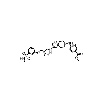 CNS(=O)(=O)c1cccc(OC[C@@H](O)CN[C@H]2COC3(CCN(Nc4ncc(C(=O)OC)cn4)CC3)C2)c1